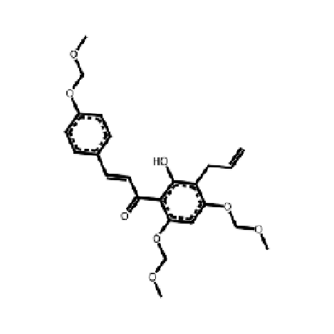 C=CCc1c(OCOC)cc(OCOC)c(C(=O)C=Cc2ccc(OCOC)cc2)c1O